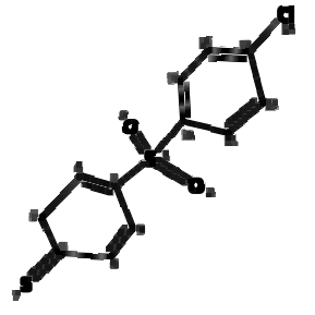 O=S(=O)(C1=CCC(=S)C=C1)c1ccc(Cl)cc1